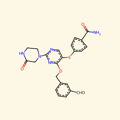 NC(=O)c1ccc(Sc2cnc(N3CCNC(=O)C3)nc2OCc2cccc(C=O)c2)cc1